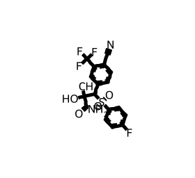 CC(O)(C(N)=O)C(c1ccc(C#N)c(C(F)(F)F)c1)S(=O)(=O)c1ccc(F)cc1